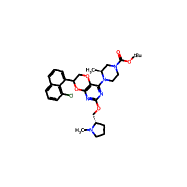 C[C@H]1CN(C(=O)OC(C)(C)C)CCN1c1nc(OC[C@@H]2CCCN2C)nc2c1OCC(c1cccc3cccc(Cl)c13)O2